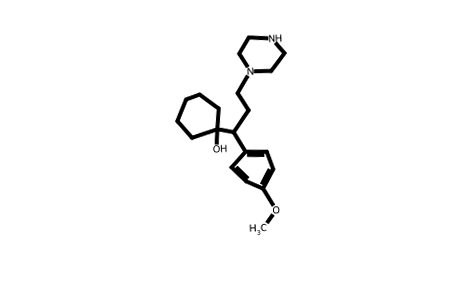 COc1ccc(C(CCN2CCNCC2)C2(O)CCCCC2)cc1